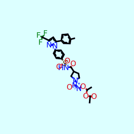 CC(=O)OC(C)O/N=[N+](/[O-])N1CCC(C(=O)NS(=O)(=O)c2ccc(-n3nc(C(F)(F)F)cc3-c3ccc(C)cc3)cc2)C1